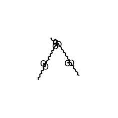 C=Cc1ccc(OCCCCCCCCCCC(=O)OCCCCCCCC)c(OCCCCCCCCCCC(=O)OCCCCCCCC)c1